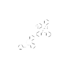 c1ccc(CC2CCc3ccc(-c4ccc5c(c4)-c4nccc6c4c(nc4ccccc46)N5c4ccccc4)cc3-c3ccccc32)cc1